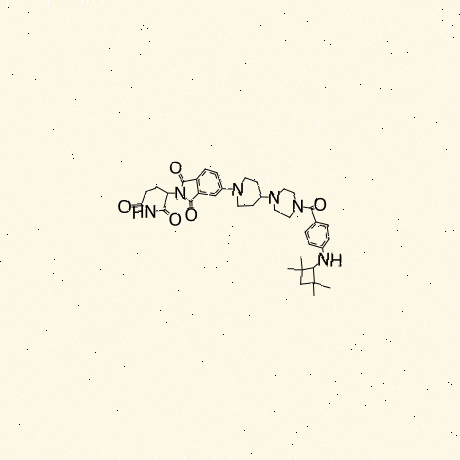 CC1(C)CC(C)(C)C1Nc1ccc(C(=O)N2CCN(C3CCN(c4ccc5c(c4)C(=O)N(C4CCC(=O)NC4=O)C5=O)CC3)CC2)cc1